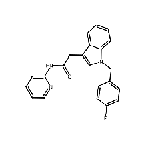 O=C(Cc1cn(Cc2ccc(F)cc2)c2ccccc12)Nc1ccccn1